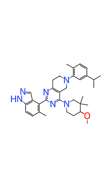 CO[C@H]1CCN(c2nc(-c3c(C)ccc4[nH]ncc34)nc3c2CN(c2cc(C(C)C)ccc2C)CC3)CC1(C)C